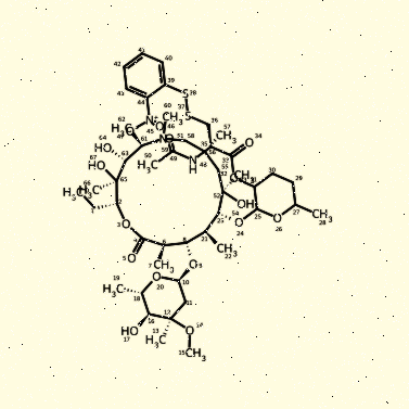 CC[C@H]1OC(=O)[C@H](C)[C@@H](O[C@H]2C[C@@](C)(OC)[C@@H](O)[C@H](C)O2)[C@H](C)[C@@H](OC2OC(C)CCC2OC(=O)[C@H](CSSc2ccccc2[N+](=O)[O-])NC(C)=O)[C@](C)(O)C[C@@H](C)CN(C)[C@H](C)[C@@H](O)[C@]1(C)O